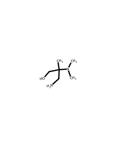 CN(C)C(C)(CN)CO